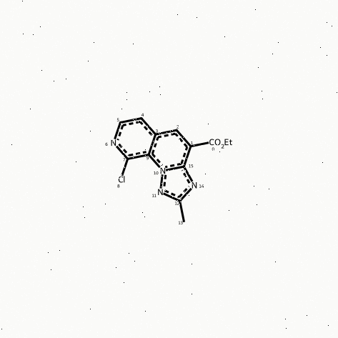 CCOC(=O)c1cc2ccnc(Cl)c2n2nc(C)nc12